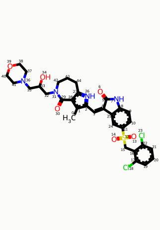 Cc1c(C=C2C(=O)Nc3ccc(S(=O)(=O)Cc4c(Cl)cccc4Cl)cc32)[nH]c2c1C(=O)N(CC(O)CN1CCOCC1)CCC2